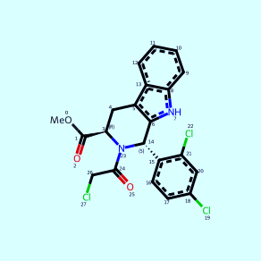 COC(=O)[C@H]1Cc2c([nH]c3ccccc23)[C@H](c2ccc(Cl)cc2Cl)N1C(=O)CCl